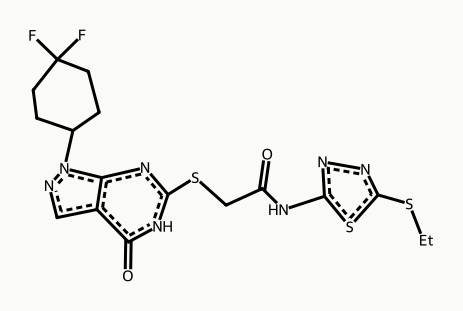 CCSc1nnc(NC(=O)CSc2nc3c(cnn3C3CCC(F)(F)CC3)c(=O)[nH]2)s1